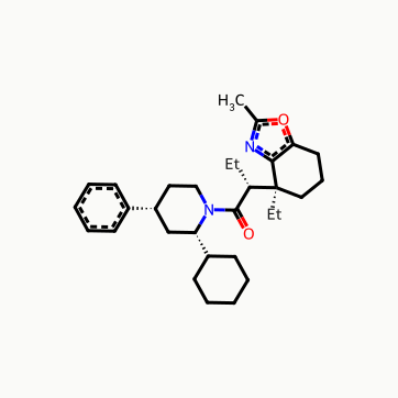 CC[C@@H](C(=O)N1CC[C@@H](c2ccccc2)C[C@H]1C1CCCCC1)[C@]1(CC)CCCc2oc(C)nc21